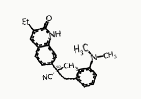 CCc1cc2ccc([C@](C)(C#N)Cc3cccc(N(C)C)c3)cc2[nH]c1=O